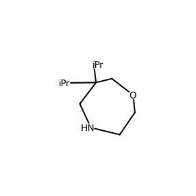 CC(C)C1(C(C)C)CNCCOC1